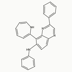 C1=CC=C(c2c(Nc3ccccc3)ccc3ncc(-c4ccccc4)nc23)NC=C1